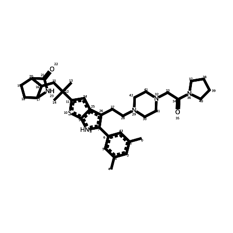 Cc1cc(C)cc(-c2[nH]c3sc(C(C)(C)CC4C5CCC4C(=O)N5)cc3c2CCN2CCN(CC(=O)N3CCCC3)CC2)c1